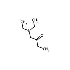 CCC(=O)CN(CC)CC